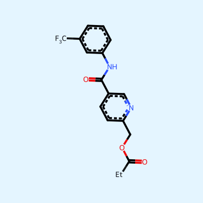 CCC(=O)OCc1ccc(C(=O)Nc2cccc(C(F)(F)F)c2)cn1